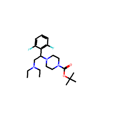 CCN(CC)CC(c1c(F)cccc1F)N1CCN(C(=O)OC(C)(C)C)CC1